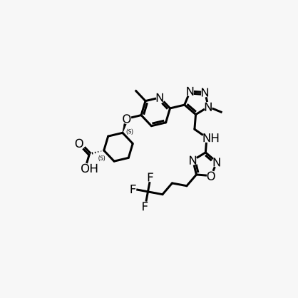 Cc1nc(-c2nnn(C)c2CNc2noc(CCCC(F)(F)F)n2)ccc1O[C@H]1CCC[C@H](C(=O)O)C1